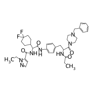 CCC(=O)NC(Cc1ccc(NC(=O)C(NC(=O)c2ccnn2CC)C2CCC(F)(F)CC2)cc1)C(=O)N1CCN(Cc2ccccc2)CC1